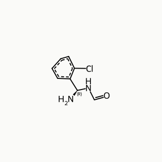 N[C@H](NC=O)c1ccccc1Cl